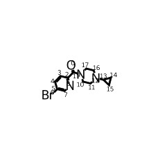 O=C(c1ccc(Br)cn1)N1CCN(C2CC2)CC1